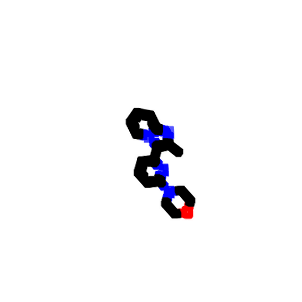 Cc1nc2ccccn2c1-c1cccc(N2CCOCC2)n1